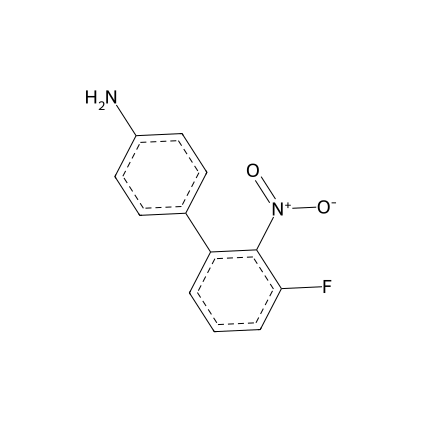 Nc1ccc(-c2cccc(F)c2[N+](=O)[O-])cc1